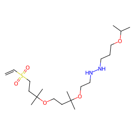 C=CS(=O)(=O)CCC(C)(C)OCCC(C)(C)OCCNNCCCOC(C)C